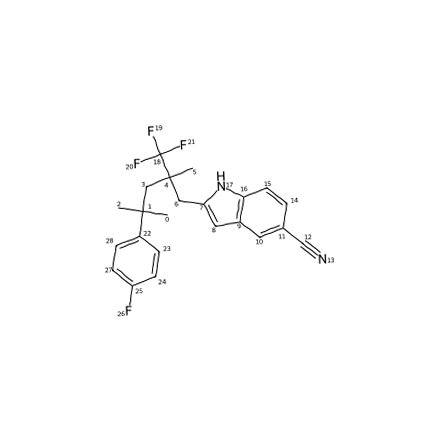 CC(C)(CC(C)(Cc1cc2cc(C#N)ccc2[nH]1)C(F)(F)F)c1ccc(F)cc1